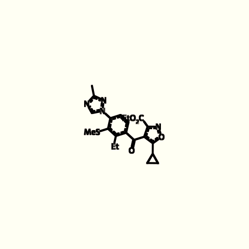 CCOC(=O)c1noc(C2CC2)c1C(=O)c1ccc(-n2cnc(C)n2)c(SC)c1CC